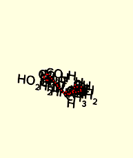 CCNC(=O)/N=C(/N)NCCC[C@@H](NC(=O)C(C)c1ccc(NCCCNC(=O)[C@H](N)CCCCNC(=O)CN2CCN(CC(=O)O)CCN(CC(=O)O)CCN(CC(=O)O)CC2)cc1)C(=O)NCc1ccc(O)cc1